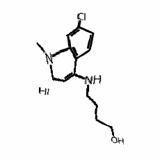 CN1CC=C(NCCCCO)c2ccc(Cl)cc21.I